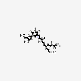 CC(=O)NCCN(CCNC(=O)/C=C/c1cn(C2CC(O)C(CO)O2)c(=O)[nH]c1=O)CCNC(=O)C(F)(F)F